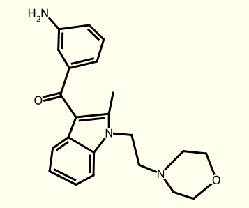 Cc1c(C(=O)c2cccc(N)c2)c2ccccc2n1CCN1CCOCC1